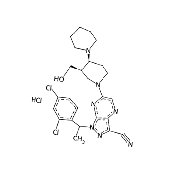 CC(c1ccc(Cl)cc1Cl)n1nc(C#N)c2ncc(N3CC[C@H](N4CCCCC4)[C@H](CO)C3)nc21.Cl